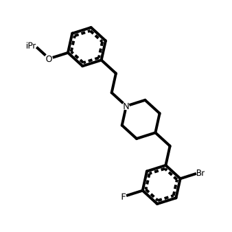 CC(C)Oc1cccc(CCN2CCC(Cc3cc(F)ccc3Br)CC2)c1